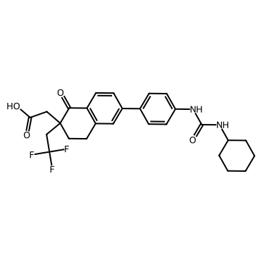 O=C(O)CC1(CC(F)(F)F)CCc2cc(-c3ccc(NC(=O)NC4CCCCC4)cc3)ccc2C1=O